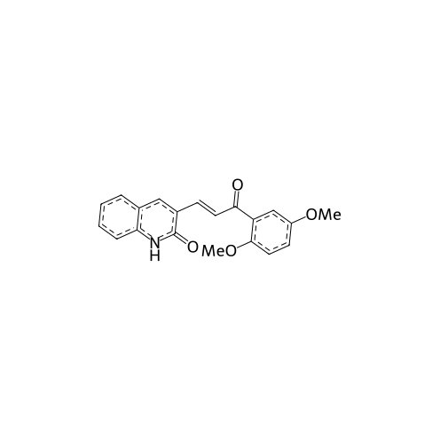 COc1ccc(OC)c(C(=O)C=Cc2cc3ccccc3[nH]c2=O)c1